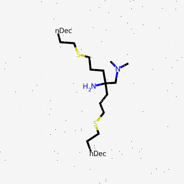 CCCCCCCCCCCCSCCCC(N)(CCCSCCCCCCCCCCCC)CN(C)C